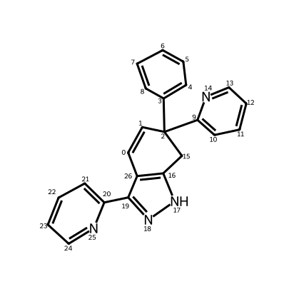 C1=CC(c2ccccc2)(c2ccccn2)Cc2[nH]nc(-c3ccccn3)c21